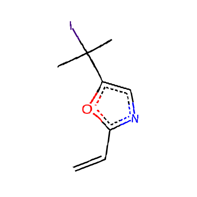 C=Cc1ncc(C(C)(C)I)o1